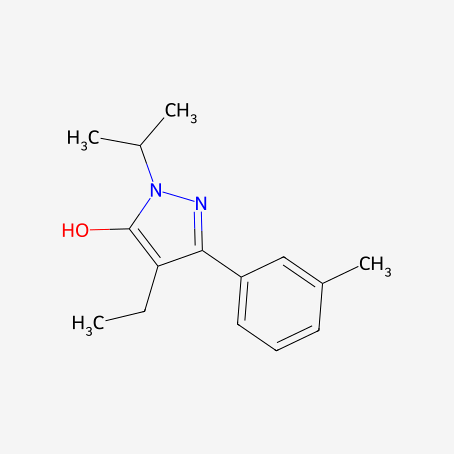 CCc1c(-c2cccc(C)c2)nn(C(C)C)c1O